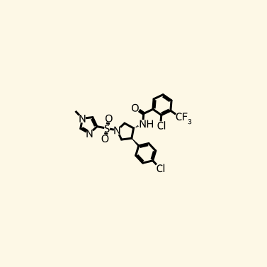 Cn1cnc(S(=O)(=O)N2C[C@H](NC(=O)c3cccc(C(F)(F)F)c3Cl)[C@@H](c3ccc(Cl)cc3)C2)c1